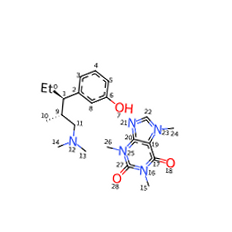 CC[C@@H](c1cccc(O)c1)[C@@H](C)CN(C)C.Cn1c(=O)c2c(ncn2C)n(C)c1=O